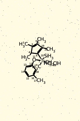 CC1=C(C)C(C)[C]([Ti]([CH3])([CH3])([SiH3])[O]c2cccc(C)c2)=C1C.Cl.Cl